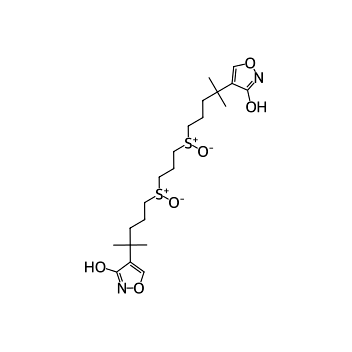 CC(C)(CCC[S+]([O-])CCC[S+]([O-])CCCC(C)(C)c1conc1O)c1conc1O